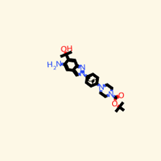 CC(C)(C)OC(=O)N1CCN(C23CCC(n4cc5cc(N)c(C(C)(C)O)cc5n4)(CC2)CC3)CC1